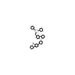 O=S1(=O)c2ccccc2-c2ccc(-c3cccc(-n4c5ccccc5c5cc(Cc6nc(-c7ccccc7)nc(-c7ccccc7)n6)ccc54)c3)cc21